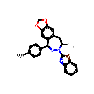 C[C@@H]1Cc2cc3c(cc2C(c2ccc([N+](=O)[O-])cc2)=NN1c1nc2ccccc2s1)OCO3